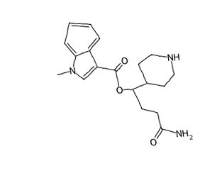 Cn1cc(C(=O)OC(CCC(N)=O)C2CCNCC2)c2ccccc21